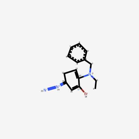 CCN(Cc1ccccc1)C1=CCC(=[N+]=[N-])C=C1Br